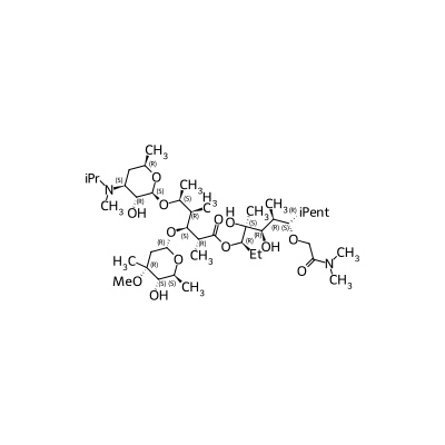 CCC[C@@H](C)[C@H](OCC(=O)N(C)C)[C@H](C)[C@@H](O)[C@](C)(O)[C@@H](CC)OC(=O)[C@H](C)[C@@H](O[C@H]1C[C@@](C)(OC)[C@@H](O)[C@H](C)O1)[C@H](C)[C@H](C)O[C@@H]1O[C@H](C)C[C@H](N(C)C(C)C)[C@H]1O